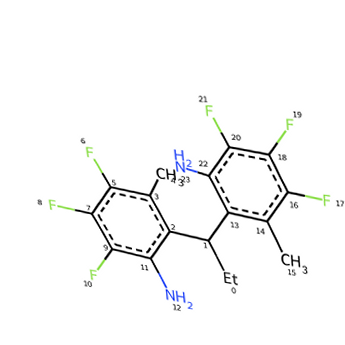 CCC(c1c(C)c(F)c(F)c(F)c1N)c1c(C)c(F)c(F)c(F)c1N